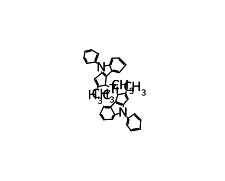 CC1=Cc2c(c3ccccc3n2-c2ccccc2)[CH]1[Ti]([CH3])([CH3])[CH]1C(C)=Cc2c1c1ccccc1n2-c1ccccc1